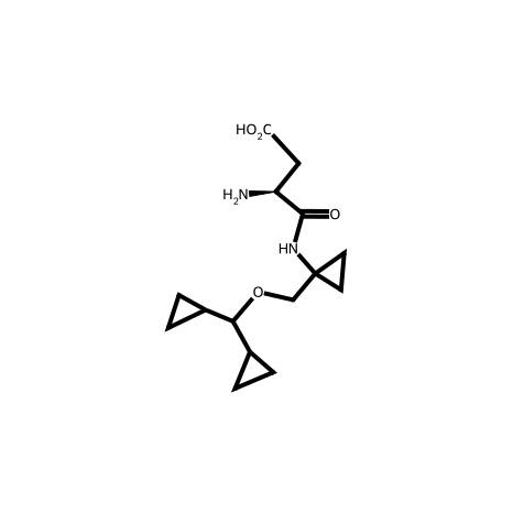 N[C@@H](CC(=O)O)C(=O)NC1(COC(C2CC2)C2CC2)CC1